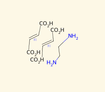 NCCN.O=C(O)/C=C/C(=O)O.O=C(O)/C=C/C(=O)O